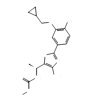 COc1ccc(-c2nc(C(=O)O)c([C@H](C)NC(=O)OC(C)(C)C)s2)cc1OCC1CC1